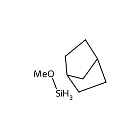 C1CC2CCC1C2.CO[SiH3]